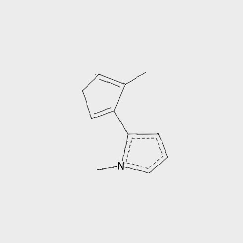 CC1=[C]CC=C1c1cccn1C